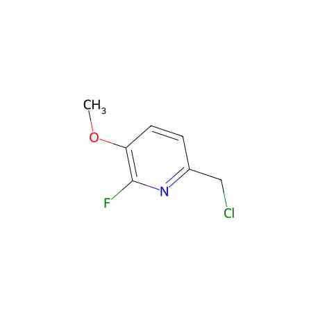 COc1ccc(CCl)nc1F